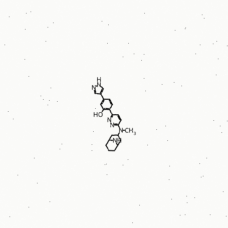 CN(c1ccc(-c2ccc(-c3cn[nH]c3)cc2O)nn1)C1CC2CCCC(C1)N2